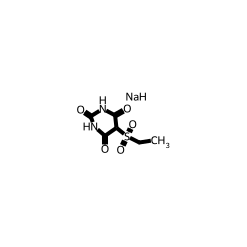 CCS(=O)(=O)C1C(=O)NC(=O)NC1=O.[NaH]